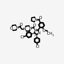 CCOc1ccc(C(=O)N2CCCC2)cc1C1=N[C@@H](c2ccc(Cl)cc2)[C@@H](c2ccc(Cl)cc2)N1C(=O)N1CCN(CC(=O)N2CCOCC2)CC1